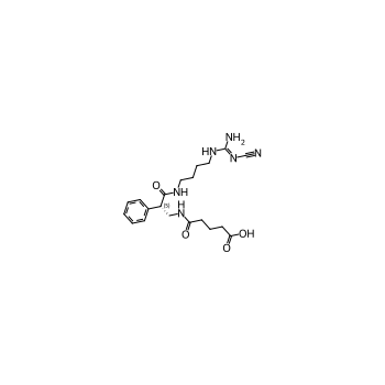 N#CN=C(N)NCCCCNC(=O)[C@H](CNC(=O)CCCC(=O)O)c1ccccc1